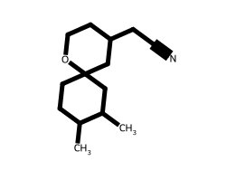 CC1CCC2(CC(CC#N)CCO2)CC1C